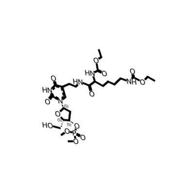 CCOC(=O)NCCCCC(NC(=O)OCC)C(=O)NCCc1cn([C@@H]2C[C@H](OP(=O)(OC)OC)[C@H](CO)O2)c(=O)[nH]c1=O